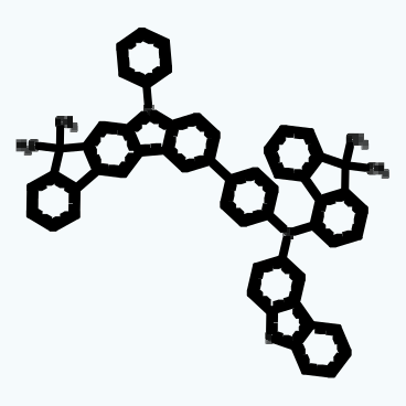 CC1(C)c2ccccc2-c2cc3c4cc(-c5ccc(N(c6ccc7sc8ccccc8c7c6)c6cccc7c6-c6ccccc6C7(C)C)cc5)ccc4n(-c4ccccc4)c3cc21